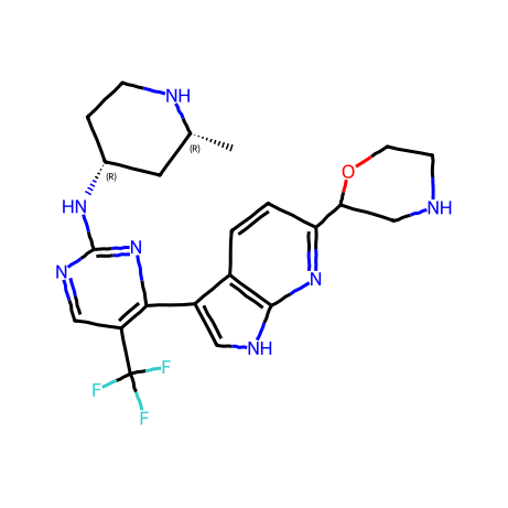 C[C@@H]1C[C@H](Nc2ncc(C(F)(F)F)c(-c3c[nH]c4nc(C5CNCCO5)ccc34)n2)CCN1